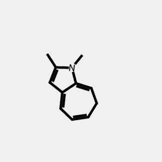 Cc1cc2c(n1C)=CCC=CC=2